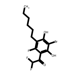 CCCCCCc1c(O)c(Br)c(O)c(C(=O)C(F)F)c1F